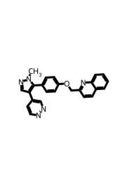 Cn1ncc(-c2ccnnc2)c1-c1ccc(OCc2ccc3ccccc3n2)cc1